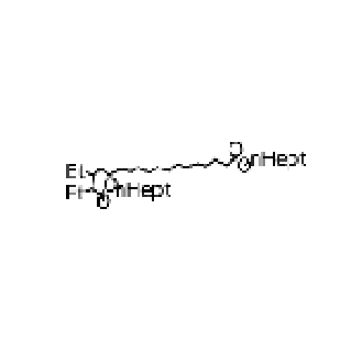 CCCCCCCOC(=O)CCCCCCCCCCCCCCC(CC)C(CC)C(=O)OCCCCCCC